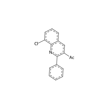 CC(=O)c1cc2cccc(Cl)c2nc1-c1ccccc1